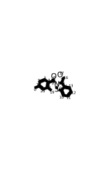 Cc1ccc(C(=O)N2Sc3ccccc3C2C=O)c(C)c1